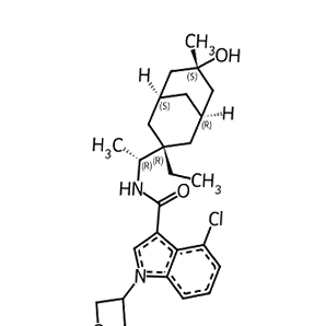 CC[C@@]1([C@@H](C)NC(=O)c2cn(C3COC3)c3cccc(Cl)c23)C[C@@H]2C[C@@H](C[C@@](C)(O)C2)C1